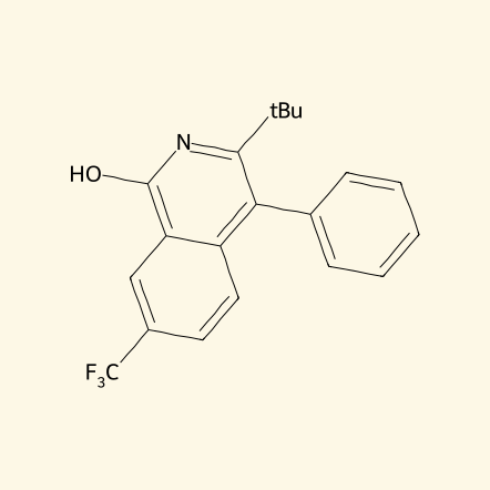 CC(C)(C)c1nc(O)c2cc(C(F)(F)F)ccc2c1-c1ccccc1